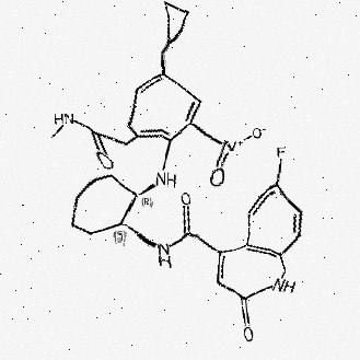 CNC(=O)c1cc(C2CC2)cc([N+](=O)[O-])c1N[C@@H]1CCCC[C@@H]1NC(=O)c1cc(=O)[nH]c2ccc(F)cc12